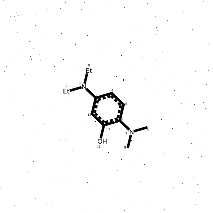 CCN(CC)c1ccc(N(C)C)c(O)c1